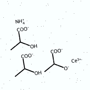 CC(O)C(=O)[O-].CC(O)C(=O)[O-].CC([O-])C(=O)[O-].[Ce+3].[NH4+]